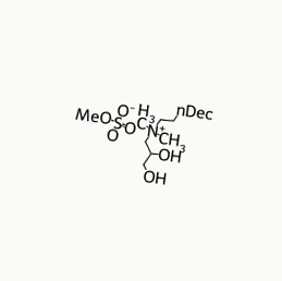 CCCCCCCCCCCC[N+](C)(C)CC(O)CO.COS(=O)(=O)[O-]